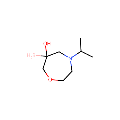 BC1(O)COCCN(C(C)C)C1